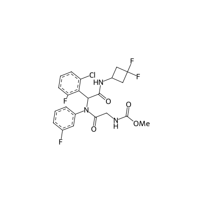 COC(=O)NCC(=O)N(c1cccc(F)c1)C(C(=O)NC1CC(F)(F)C1)c1c(F)cccc1Cl